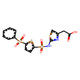 O=C(O)Cc1csc(NS(=O)(=O)c2ccc(S(=O)(=O)c3ccccc3)s2)n1